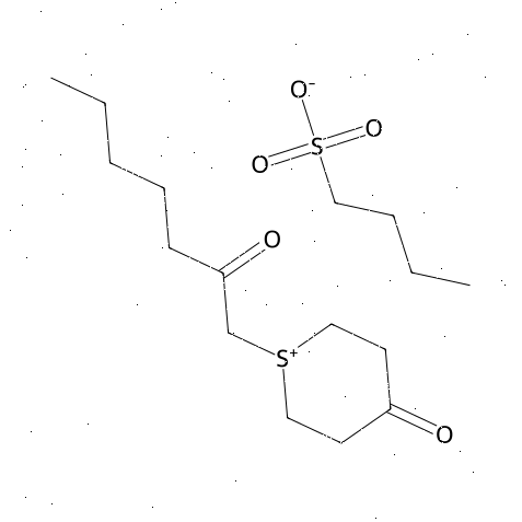 CCCCCC(=O)C[S+]1CCC(=O)CC1.CCCCS(=O)(=O)[O-]